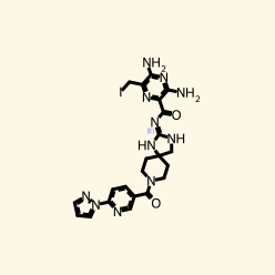 Nc1nc(N)c(C(=O)/N=C2\NCC3(CCN(C(=O)c4ccc(-n5cccn5)nc4)CC3)N2)nc1CI